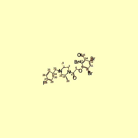 C[C@@H]1CN(C(=O)COc2c(Br)cc(Br)c(C=O)c2Br)[C@@H](C)CN1Cc1ccc(F)cc1